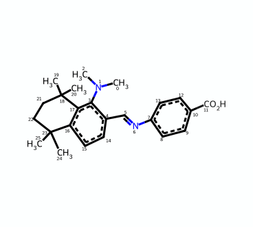 CN(C)c1c(C=Nc2ccc(C(=O)O)cc2)ccc2c1C(C)(C)CCC2(C)C